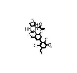 C=CC(=O)N[C@H]1COC[C@H]1Nc1ncc2cc(-c3c(Cl)c(CC)cc(OC)c3Cl)cc(Cl)c2n1